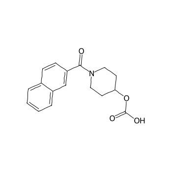 O=C(O)OC1CCN(C(=O)c2ccc3ccccc3c2)CC1